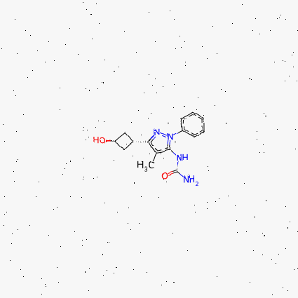 Cc1c(NC(N)=O)n(-c2ccccc2)nc1[C@H]1C[C@H](O)C1